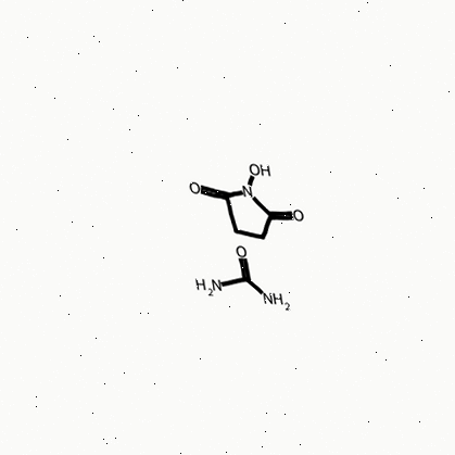 NC(N)=O.O=C1CCC(=O)N1O